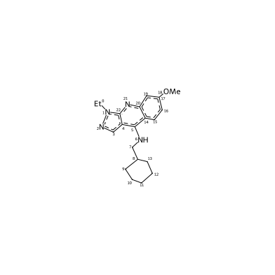 CCn1ncc2c(NCC3CCCCC3)c3ccc(OC)cc3nc21